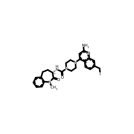 CN1C(=O)[C@@H](NC(=O)N2CCN(c3cc(N)nc4cc(CI)ccc34)CC2)CCc2ccccc21